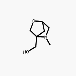 CN1CC2CC1(CO)CO2